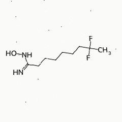 CC(F)(F)CCCCCCC(=N)NO